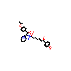 COc1ccc(C(=O)CCCCCC(=O)N[C@H](CN2C3CCC2CC3)[C@H](O)c2ccc(OC(C)C)cc2)cc1